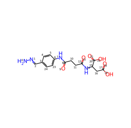 NN=Cc1ccc(NC(=O)CCC(=O)NC(CC(=O)O)C(=O)O)cc1